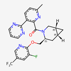 Cc1ccc(-c2ncccn2)c(C(=O)N2C[C@@H]3C[C@@H]3C[C@H]2COc2ncc(C(F)(F)F)cc2F)n1